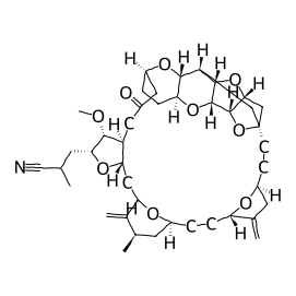 C=C1C[C@@H]2CC[C@@]34C[C@H]5[C@H]6O[C@H](CC[C@@H]6O[C@H]6[C@@H](O3)[C@@H](C4)O[C@@H]56)CC(=O)C[C@@H]3[C@@H](OC)[C@@H](CC(C)C#N)O[C@H]3C[C@H]3O[C@@H](CC[C@@H]1O2)C[C@@H](C)C3=C